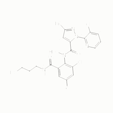 CCCCNC(=O)c1cc(Cl)cc(Cl)c1N(C)C(=O)c1cc(Br)nn1-c1ncccc1Cl